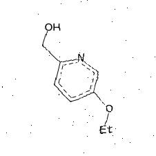 CCOc1ccc(CO)nc1